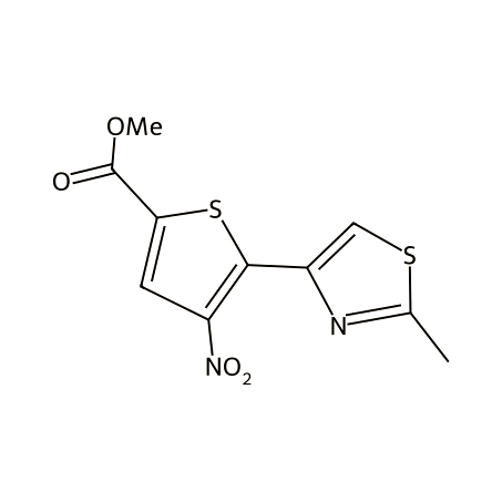 COC(=O)c1cc([N+](=O)[O-])c(-c2csc(C)n2)s1